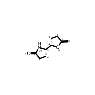 C=C1CC[C@@H]([C@@H]2CCC(=O)N2)O1